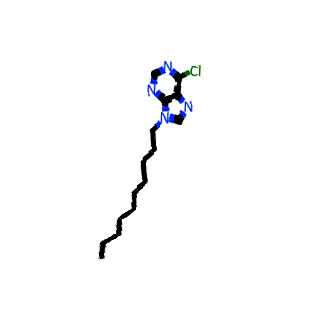 CCCCCCCCCCn1cnc2c(Cl)ncnc21